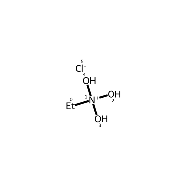 CC[N+](O)(O)O.[Cl-]